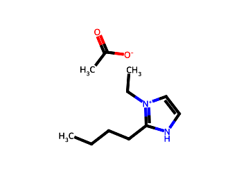 CC(=O)[O-].CCCCc1[nH]cc[n+]1CC